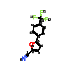 N#Cc1ccc(-c2ccc(C(F)(F)F)cc2)o1